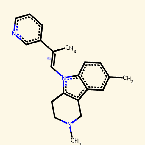 C/C(=C\n1c2c(c3cc(C)ccc31)CN(C)CC2)c1cccnc1